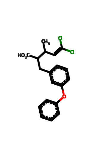 CC(C=C(Cl)Cl)C(Cc1cccc(Oc2ccccc2)c1)C(=O)O